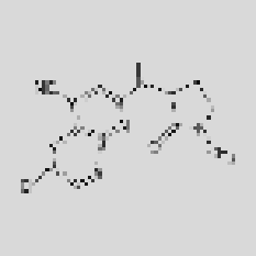 CN1CCC(Nc2cc(C#N)c3cc(Cl)ccc3n2)C1=O